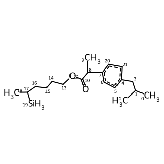 CC(C)Cc1ccc(C(C)C(=O)OCCCCC(C)[SiH3])cc1